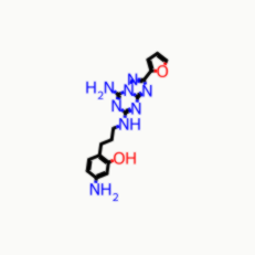 Nc1ccc(CCCNc2nc(N)n3nc(-c4ccco4)nc3n2)c(O)c1